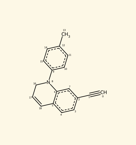 C#Cc1ccc2c(c1)N(c1ccc(C)cc1)CC=C2